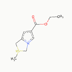 CCOC(=O)c1cc2n(c1)C[SH](C)C2